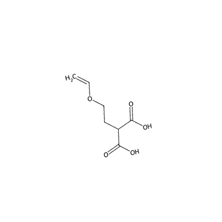 C=COCCC(C(=O)O)C(=O)O